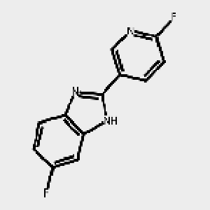 Fc1ccc2nc(-c3ccc(F)nc3)[nH]c2c1